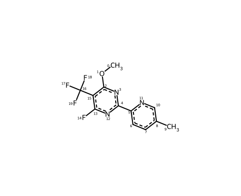 COc1nc(-c2ccc(C)cn2)nc(F)c1C(F)(F)F